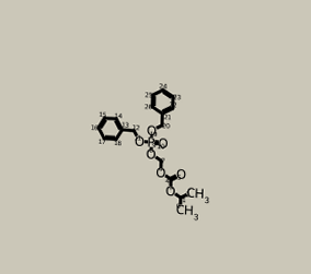 CC(C)OC(=O)OCOP(=O)(OCc1ccccc1)OCc1ccccc1